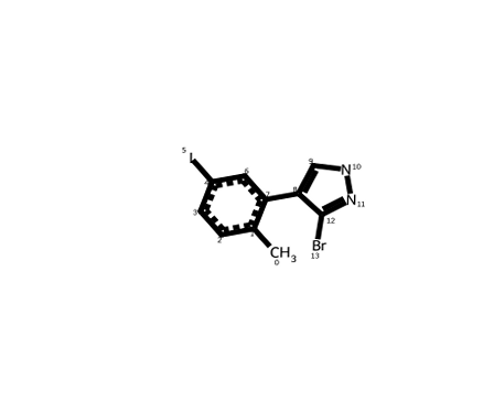 Cc1ccc(I)cc1C1=C[N]N=C1Br